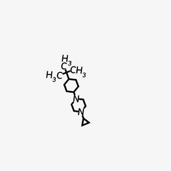 CC(C)(C)C1CCC(N2CCN(C3CC3)CC2)CC1